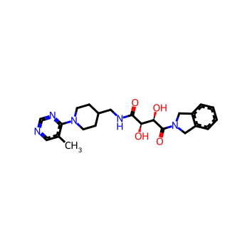 Cc1cncnc1N1CCC(CNC(=O)[C@H](O)[C@@H](O)C(=O)N2Cc3ccccc3C2)CC1